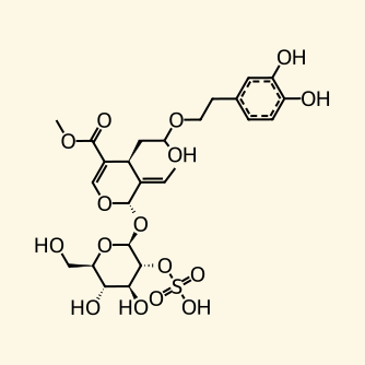 C/C=C1/[C@H](O[C@@H]2O[C@H](CO)[C@@H](O)[C@H](O)[C@H]2OS(=O)(=O)O)OC=C(C(=O)OC)[C@H]1CC(O)OCCc1ccc(O)c(O)c1